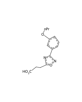 CCCOc1cccc(-c2noc(CCC(=O)O)n2)c1